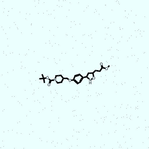 COC(=O)CCC1CC(c2ccc(OCC3CCN(C(=O)OC(C)(C)C)CC3)cc2)NO1